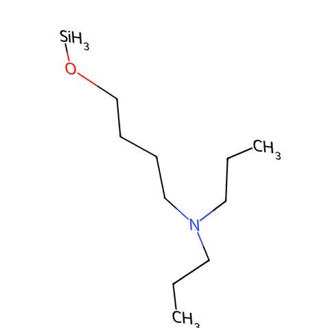 CCCN(CCC)CCCCO[SiH3]